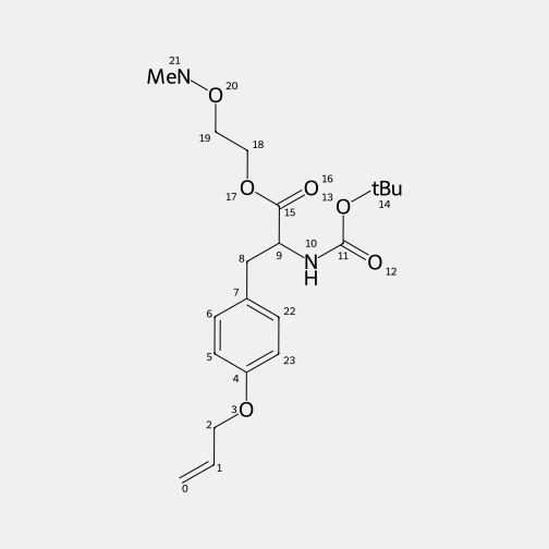 C=CCOc1ccc(CC(NC(=O)OC(C)(C)C)C(=O)OCCONC)cc1